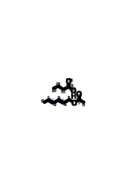 C/C=C/C=C/COC(C)=O.CCCC(=O)O